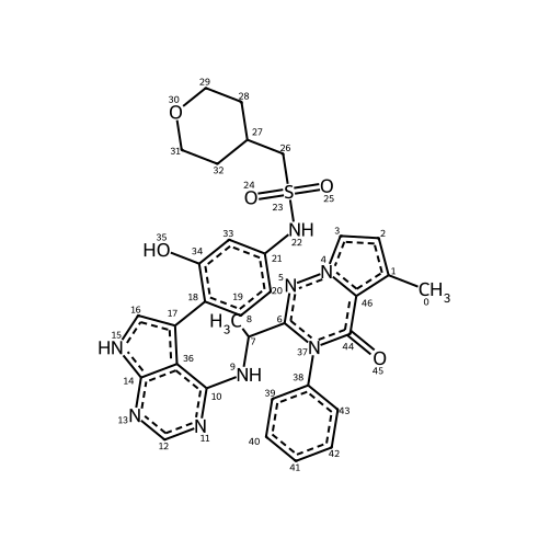 Cc1ccn2nc(C(C)Nc3ncnc4[nH]cc(-c5ccc(NS(=O)(=O)CC6CCOCC6)cc5O)c34)n(-c3ccccc3)c(=O)c12